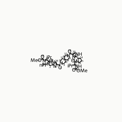 CCCN(Cc1nc(C(=O)N2CCC3(CC2)CCN(C(=O)c2c[nH]c([C@@H]4CCCN4C(=O)[C@@H](NC(=O)OC)C(C)C)n2)CC3)c[nH]1)C(=O)[C@@H](NC(=O)OC)C(C)C